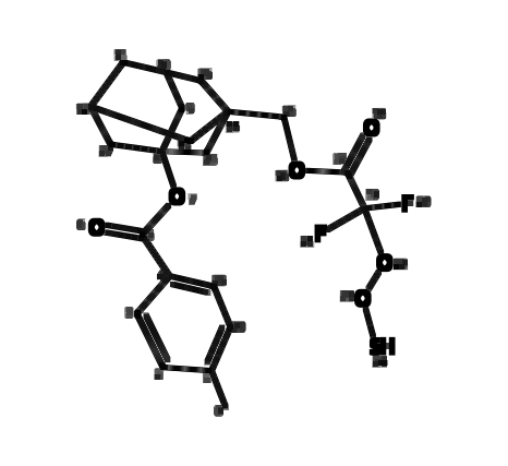 Cc1ccc(C(=O)OC23CC4CC(CC(COC(=O)C(F)(F)OOS)(C4)C2)C3)cc1